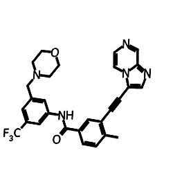 Cc1ccc(C(=O)Nc2cc(CN3CCOCC3)cc(C(F)(F)F)c2)cc1C#Cc1cnc2cnccn12